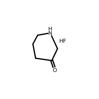 F.O=C1CCCNC1